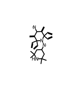 C=CC1(C=C)C(=C)C([N])C(=C)C(C=C)(C=C)N1[N]C1CC(C)(C)NC(C)(C)C1